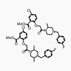 COC(=O)c1cc(Cl)ccc1OCC(=O)N1CC(C)N(Cc2ccc(F)cc2)CC1C.COC(=O)c1cc(Cl)ccc1OCC(=O)N1CCN(Cc2ccc(F)cc2)CC1C